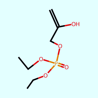 C=C(O)COP(=O)(OCC)OCC